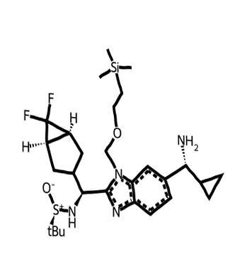 CC(C)(C)[S@@+]([O-])N[C@H](c1nc2ccc([C@H](N)C3CC3)cc2n1COCC[Si](C)(C)C)C1C[C@@H]2[C@H](C1)C2(F)F